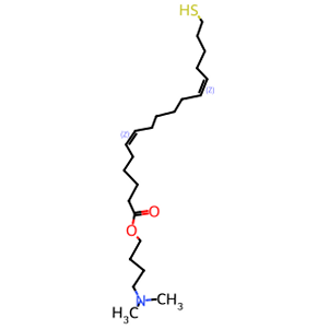 CN(C)CCCCOC(=O)CCCC/C=C\CCCC/C=C\CCCCS